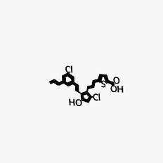 C/C=C/c1cc(Cl)cc(C=C[C@H]2[C@@H](CCCc3ccc(C(=O)O)s3)[C@@H](Cl)C[C@H]2O)c1